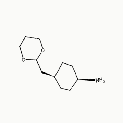 N[C@H]1CC[C@@H](CC2OCCCO2)CC1